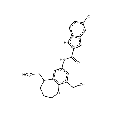 O=C(O)CN1CCCOc2c(CO)cc(NC(=O)c3cc4cc(Cl)ccc4[nH]3)cc21